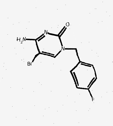 Nc1nc(=O)n(Cc2ccc(F)cc2)cc1Br